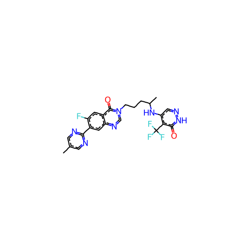 Cc1cnc(-c2cc3ncn(CCCC(C)Nc4cn[nH]c(=O)c4C(F)(F)F)c(=O)c3cc2F)nc1